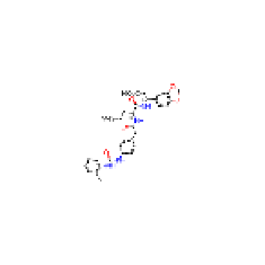 CSCC[C@H](NC(=O)Cc1ccc(NC(=O)Nc2ccccc2C)cc1)C(=O)N[C@@H](CC(=O)O)c1ccc2c(c1)OCO2